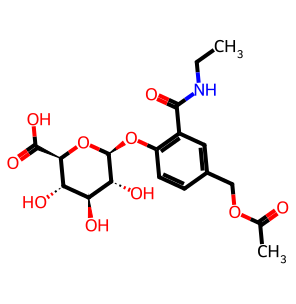 CCNC(=O)c1cc(COC(C)=O)ccc1O[C@@H]1O[C@H](C(=O)O)[C@@H](O)[C@H](O)[C@H]1O